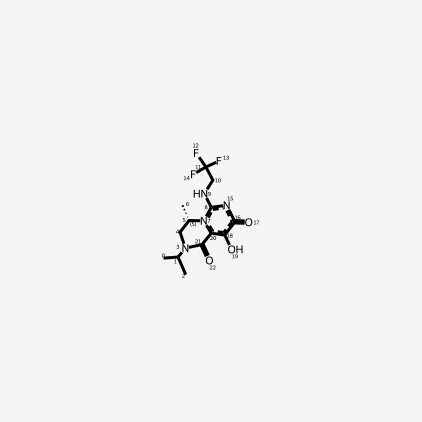 CC(C)N1C[C@H](C)n2c(NCC(F)(F)F)nc(=O)c(O)c2C1=O